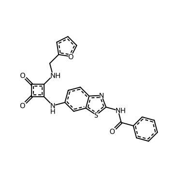 O=C(Nc1nc2ccc(Nc3c(NCc4ccco4)c(=O)c3=O)cc2s1)c1ccccc1